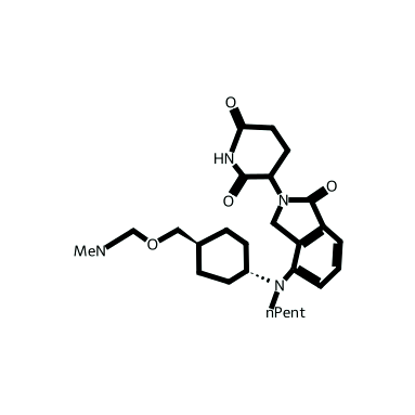 CCCCCN(c1cccc2c1CN(C1CCC(=O)NC1=O)C2=O)[C@H]1CC[C@H](COCNC)CC1